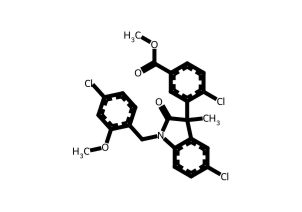 COC(=O)c1ccc(Cl)c(C2(C)C(=O)N(Cc3ccc(Cl)cc3OC)c3ccc(Cl)cc32)c1